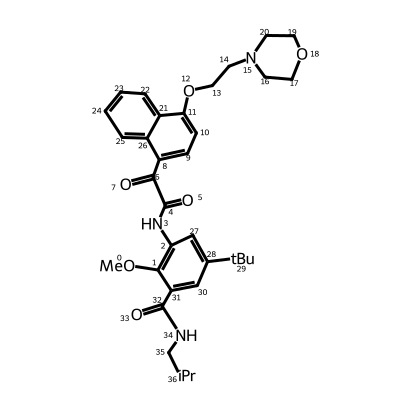 COc1c(NC(=O)C(=O)c2ccc(OCCN3CCOCC3)c3ccccc23)cc(C(C)(C)C)cc1C(=O)NCC(C)C